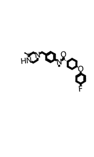 C[C@H]1CN(Cc2ccc(N(C)C(=O)[C@H]3CC[C@H](OC4=CCC(F)C=C4)CC3)cc2)CCN1